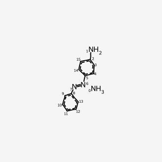 N.Nc1ccc(N=Nc2ccccc2)cc1